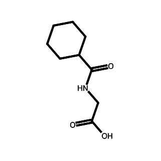 O=C(O)CNC(=O)C1CCCCC1